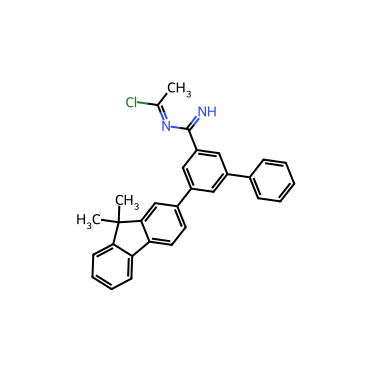 C/C(Cl)=N\C(=N)c1cc(-c2ccccc2)cc(-c2ccc3c(c2)C(C)(C)c2ccccc2-3)c1